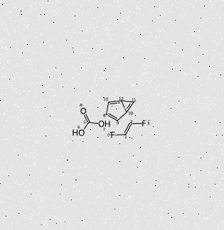 FC=CF.O=C(O)O.c1cc2cc-2c1